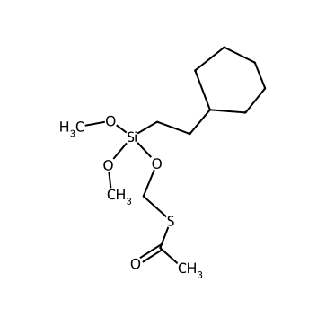 CO[Si](CCC1CCCCC1)(OC)OCSC(C)=O